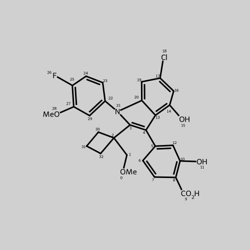 COCC1(c2c(-c3ccc(C(=O)O)c(O)c3)c3c(O)cc(Cl)cc3n2-c2ccc(F)c(OC)c2)CCC1